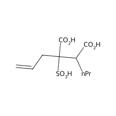 C=CCC(C(=O)O)(C(CCC)C(=O)O)S(=O)(=O)O